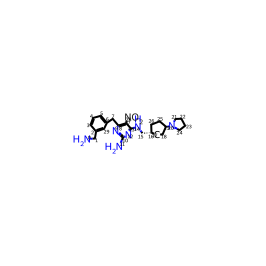 NCc1cccc(Cc2nc(N)nc(NC[C@H]3CC[C@H](N4CCCC4)CC3)c2[N+](=O)[O-])c1